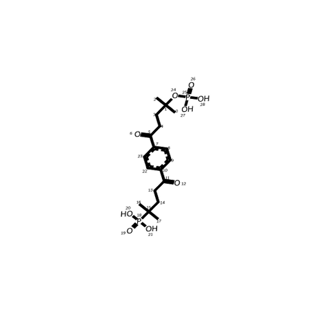 CC(C)(CCC(=O)c1ccc(C(=O)CCC(C)(C)P(=O)(O)O)cc1)OP(=O)(O)O